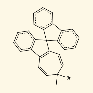 CC1(Br)C=CC2=C(C=C1)C1(c3ccccc32)c2ccccc2-c2ccccc21